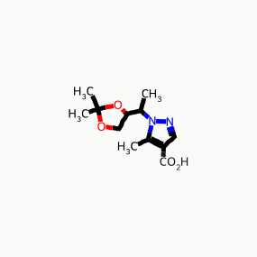 Cc1c(C(=O)O)cnn1C(C)C1COC(C)(C)O1